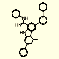 CC1C=C(c2ccccc2)C=C2Nc3c(C(=N)Nc4ccccc4)cc(-c4cccc(-c5ccccc5)c4)cc3C21